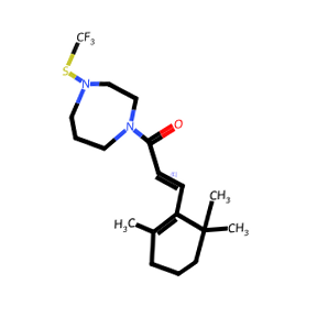 CC1=C(/C=C/C(=O)N2CCCN(SC(F)(F)F)CC2)C(C)(C)CCC1